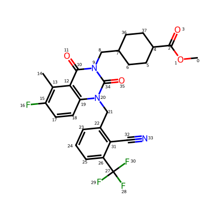 COC(=O)C1CCC(Cn2c(=O)c3c(C)c(F)ccc3n(Cc3cccc(C(F)(F)F)c3C#N)c2=O)CC1